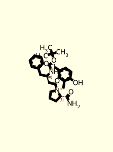 CC(C)(C)OC(=O)N[C@@H](CC(=O)[N+]1(Cc2cc(Cl)ccc2O)CCC[C@H]1C(N)=O)Cc1ccccc1